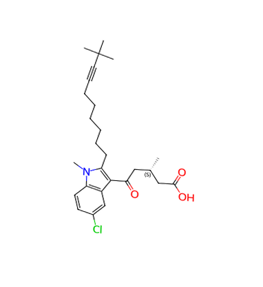 C[C@H](CC(=O)O)CC(=O)c1c(CCCCCCC#CC(C)(C)C)n(C)c2ccc(Cl)cc12